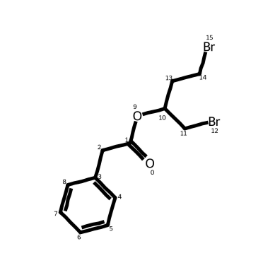 O=C(Cc1ccccc1)OC(CBr)CCBr